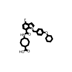 O=C(NC1CCCC(C(=O)O)CCC1)c1ccc(F)c2ccn(Cc3ccc(OC4CCCCC4)cc3)c12